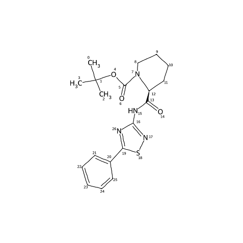 CC(C)(C)OC(=O)N1CCCC[C@H]1C(=O)Nc1nsc(-c2ccccc2)n1